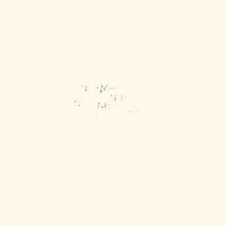 COc1cccc(OCc2ccccc2)c1C(NC1=[N+]c2ncncc2N1)(c1ccccc1)c1ccccc1